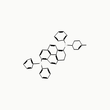 CC1=CCC(N(C2=c3ccc4ccc(N(c5ccccc5)c5ccccc5)c5ccc(c3c45)CC2)c2ccccc2)CC1